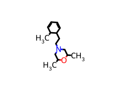 CC1CN(CCC2C=CC=CC2C)CC(C)O1